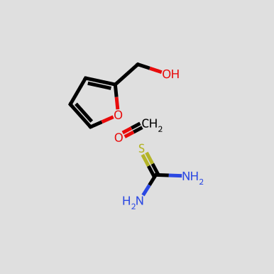 C=O.NC(N)=S.OCc1ccco1